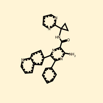 Nc1nc(-c2ccccc2)c(-c2ccc3ncccc3c2)nc1C(=O)NC1(c2ncccn2)CC1